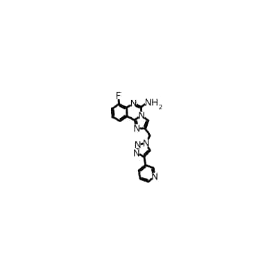 Nc1nc2c(F)cccc2c2nc(Cn3cc(-c4cccnc4)nn3)cn12